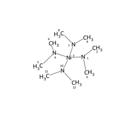 C[N](C)[Ni]([N](C)C)([N](C)C)[N](C)C